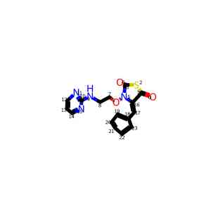 O=C1SC(=O)N(OCCNc2ncccn2)C1=Cc1ccccc1